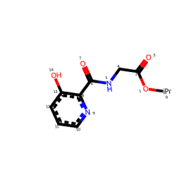 CC(C)OC(=O)CNC(=O)c1ncccc1O